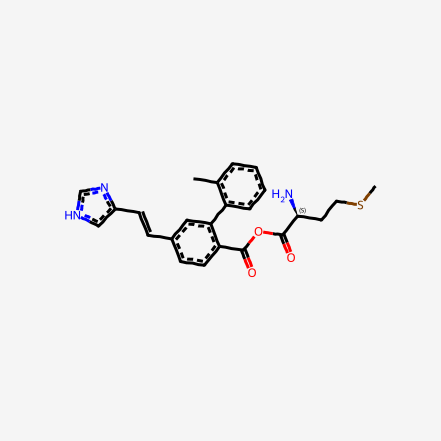 CSCC[C@H](N)C(=O)OC(=O)c1ccc(C=Cc2c[nH]cn2)cc1-c1ccccc1C